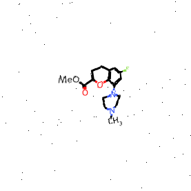 COC(=O)C1CCc2cc(F)cc(N3CCN(C)CC3)c2O1